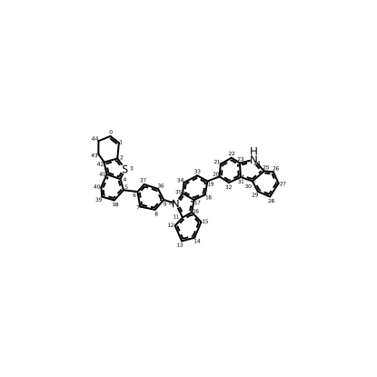 C1=Cc2sc3c(-c4ccc(-n5c6ccccc6c6cc(-c7ccc8[nH]c9ccccc9c8c7)ccc65)cc4)cccc3c2CC1